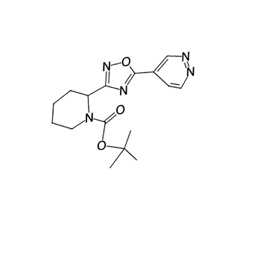 CC(C)(C)OC(=O)N1CCCCC1c1noc(-c2ccnnc2)n1